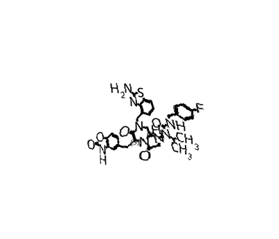 CC(C)N(C(=O)NCc1ccc(F)cc1)N1CC(=O)N2[C@@H](Cc3ccc4oc(=O)[nH]c4c3)C(=O)N(Cc3cccc4sc(N)nc34)C[C@@H]21